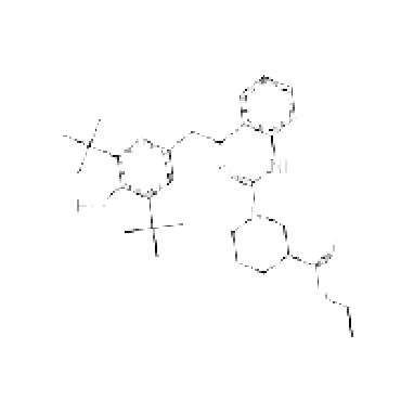 CCOC(=O)C1CCCN(C(=O)Nc2ccccc2CCc2cc(C(C)(C)C)c(O)c(C(C)(C)C)c2)C1